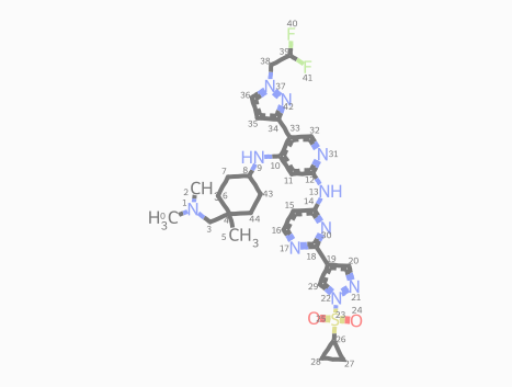 CN(C)CC1(C)CCC(Nc2cc(Nc3ccnc(-c4cnn(S(=O)(=O)C5CC5)c4)n3)ncc2-c2ccn(CC(F)F)n2)CC1